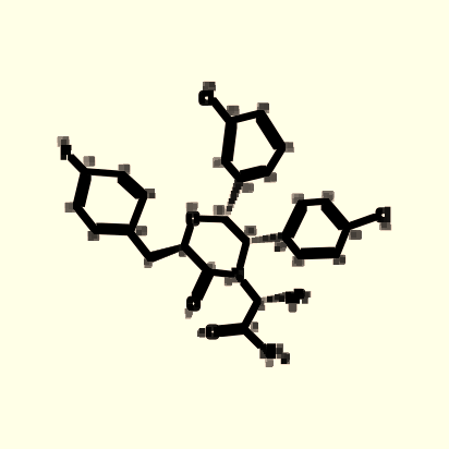 CCC[C@H](C(N)=O)N1C(=O)[C@@H](Cc2ccc(F)cc2)O[C@H](c2cccc(Cl)c2)[C@@H]1c1ccc(Cl)cc1